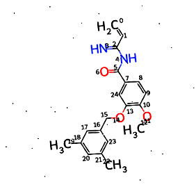 C=CC(=N)NC(=O)c1ccc(OC)c(OCc2cc(C)cc(C)c2)c1